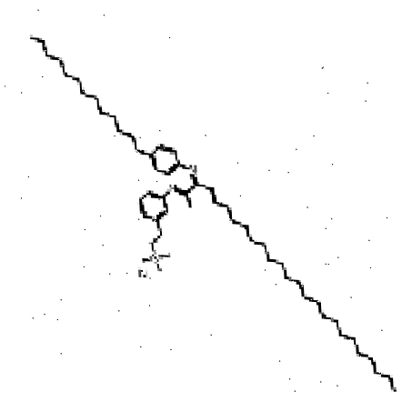 CCCCCCCCCCCCCCCCCCCCC=CC(=Nc1ccc(CCCCCCCCCCCCC)cc1)C(C)=Nc1cccc(CC[Si](C)(C)C)c1.[Ni]